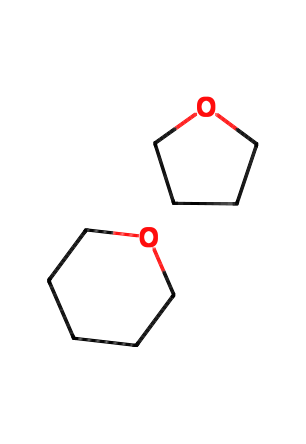 C1CCOC1.C1CCOCC1